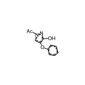 CC(=O)n1cc(Oc2ccccc2)c(O)n1